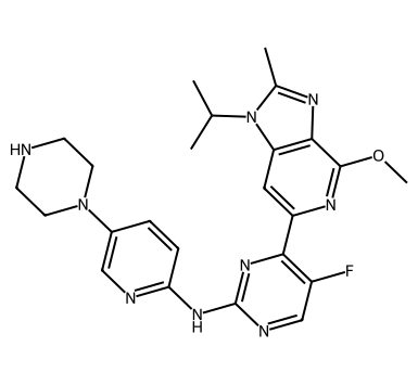 COc1nc(-c2nc(Nc3ccc(N4CCNCC4)cn3)ncc2F)cc2c1nc(C)n2C(C)C